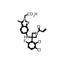 C=CC(=O)N1CC(Nc2ccc3c(C)n(CC(=O)O)nc3c2)(c2c(F)ccc(Cl)c2Cl)C1